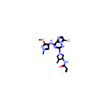 C=CC(=O)NC1CN(c2nc(Nc3cn(C)nc3OC)c3ncc(Cl)n3n2)CC1C